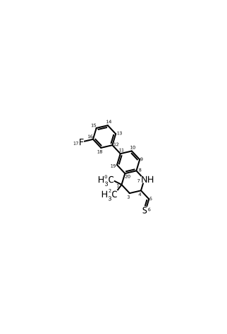 CC1(C)CC(C=S)Nc2ccc(-c3cccc(F)c3)cc21